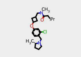 CC(C)CC(=O)N(C)CC1CC(Oc2ccc(CN3CCC[C@@H]3C)c(Cl)c2)C1